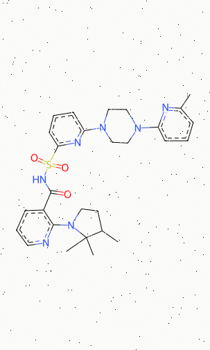 Cc1cccc(N2CCN(c3cccc(S(=O)(=O)NC(=O)c4cccnc4N4CCC(C)C4(C)C)n3)CC2)n1